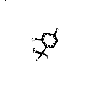 Fc1c[c]c(C(F)(F)F)c(Cl)c1